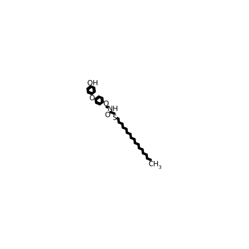 CCCCCCCCCCCCCCCCCCSCC(=O)NCOc1ccc(Oc2ccc(O)cc2)cc1